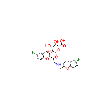 C=C(CNCC(OC1OC(C(=O)O)C(O)C(O)C1O)C1CCc2cc(F)ccc2O1)C1CCc2cc(F)ccc2O1